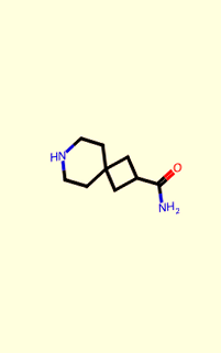 NC(=O)C1CC2(CCNCC2)C1